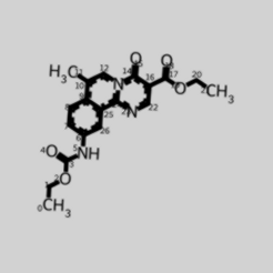 CCOC(=O)Nc1ccc2c(C)cn3c(=O)c(C(=O)OCC)cnc3c2c1